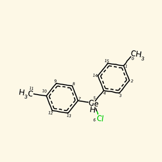 Cc1cc[c]([GeH]([Cl])[c]2ccc(C)cc2)cc1